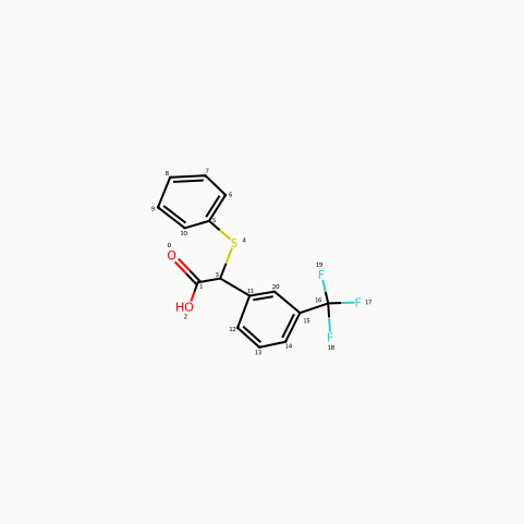 O=C(O)C(Sc1ccccc1)c1cccc(C(F)(F)F)c1